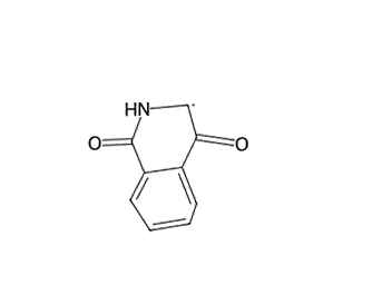 O=C1[CH]NC(=O)c2ccccc21